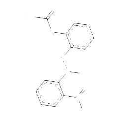 CC(=O)Nc1ccccc1N[S+]([O-])c1ccccc1[N+](=O)[O-]